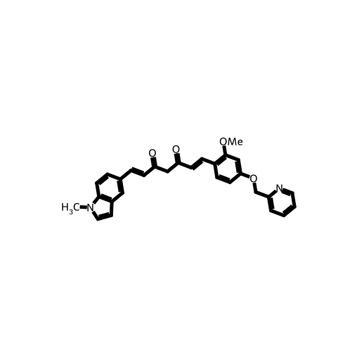 COc1cc(OCc2ccccn2)ccc1C=CC(=O)CC(=O)C=Cc1ccc2c(ccn2C)c1